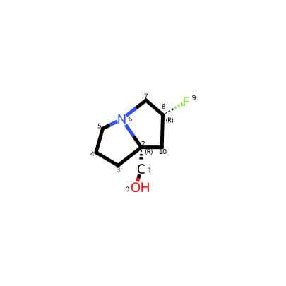 OC[C@]12CCCN1C[C@H](F)C2